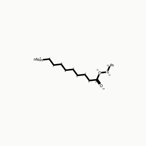 CCCCCCCCCCCCCCCCCC(=O)[O][Ti][CH](C)C